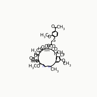 COc1cc(C(C)=O)ccc1SCC(=O)O[C@H]1CC(=O)N(C)c2cc(cc(OC)c2Cl)C/C(C)=C/C=C/[C@@H](OC)[C@@]2(O)C[C@H](OC(=O)N2)[C@@H](C)[C@@H]2O[C@@]12C